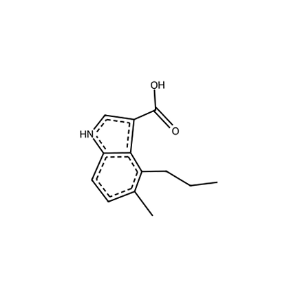 CCCc1c(C)ccc2[nH]cc(C(=O)O)c12